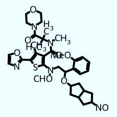 COc1ccccc1C(CN(C=O)c1sc(-c2ncco2)c(C)c1C(=O)N(C)C(C)(C)C(=O)N1CCOCC1)OC1CC2CC(N=O)CC2C1